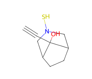 C#CC1(O)C2CCC1CN(S)C2